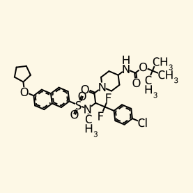 CN(C(C(=O)N1CCC(NC(=O)OC(C)(C)C)CC1)C(F)(F)c1ccc(Cl)cc1)S(=O)(=O)c1ccc2cc(OC3CCCC3)ccc2c1